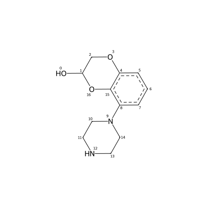 OC1COc2cccc(N3CCNCC3)c2O1